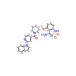 NC1=NS(=O)(=O)Nc2cccc(OC[C@H]3CCCN(C(=O)c4ccnc(-n5ccc6ccccc65)c4)C3)c21